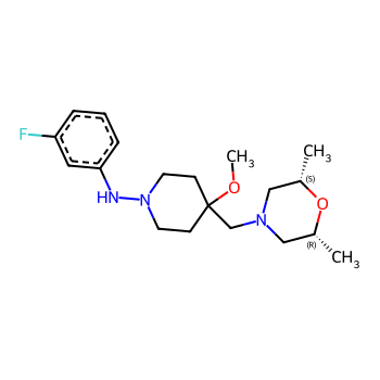 COC1(CN2C[C@@H](C)O[C@@H](C)C2)CCN(Nc2cccc(F)c2)CC1